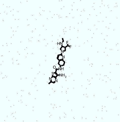 CCNC1CN(c2ccc3c(n2)CCC(NC(=O)c2sc4nc(C)cnc4c2N)C3)CC1C(F)F